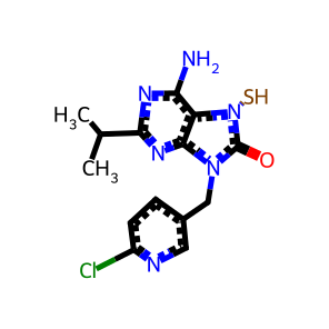 CC(C)c1nc(N)c2c(n1)n(Cc1ccc(Cl)nc1)c(=O)n2S